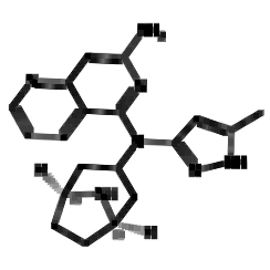 Cc1cc(N(c2nc(N)cc3ncccc23)C2C[C@H]3CC[C@@H](C2)N3)n[nH]1